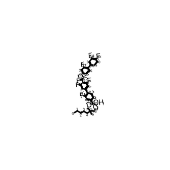 CCCCCC1(C)COC(O)(c2ccc(-c3cc(F)c(C(F)(F)Oc4ccc(-c5ccc(F)c(F)c5)c(F)c4)c(F)c3)c(F)c2)OC1